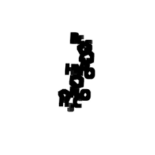 CC(=O)N(c1ccc(NC(=O)N2CCc3sc(Br)cc3C2)cc1)C1CCCC1